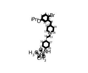 CC(C)Oc1ccc(Br)c(CC2CCN(CC[C@H]3CC[C@H](NS(=O)(=O)N(C)C)CC3)CC2)c1